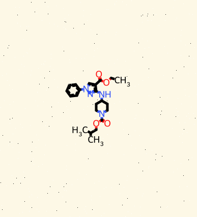 CCOC(=O)c1cn(-c2ccccc2)nc1NC1CCN(C(=O)OCC(C)C)CC1